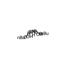 CCCCOCC(O)COONCC(C)NOOCC(O)COCCCC